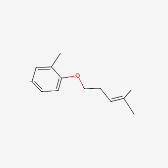 CC(C)=CCCOc1cc[c]cc1C